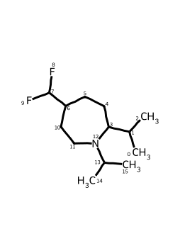 CC(C)C1CCC(C(F)F)CCN1C(C)C